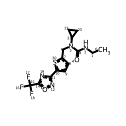 CCNC(=O)N(Cc1ccc(-c2noc(C(F)(F)F)n2)s1)C1CC1